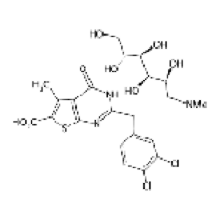 CNC[C@H](O)[C@@H](O)[C@H](O)[C@H](O)CO.Cc1c(C(=O)O)sc2nc(Cc3ccc(Cl)c(Cl)c3)[nH]c(=O)c12